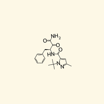 Cc1cc(C(=O)N[C@@H](Cc2ccccc2)C(=O)C(N)=O)n(C(C)(C)C)n1